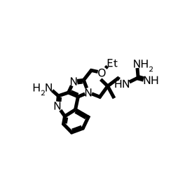 CCOCc1nc2c(N)nc3ccccc3c2n1CC(C)(C)CNC(=N)N